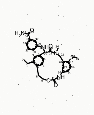 CCc1cc2ccc1CCOC(=O)Nc1ccc(SC)c(c1)CN(C)C(=O)C2Nc1cccc(C(N)=O)c1